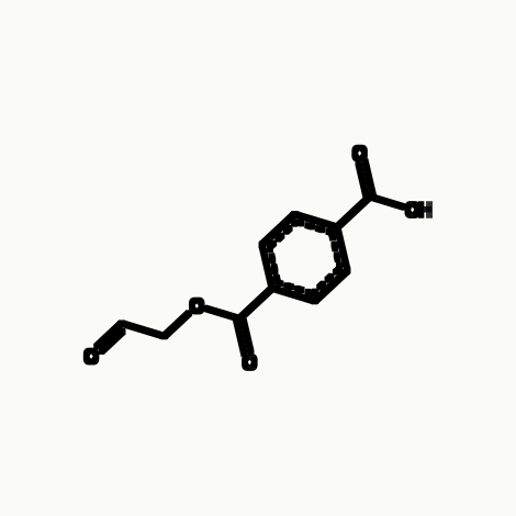 O=CCOC(=O)c1ccc(C(=O)O)cc1